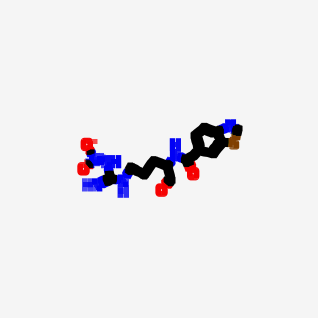 N=C(NCCCC(C=O)NC(=O)c1ccc2ncsc2c1)N[N+](=O)[O-]